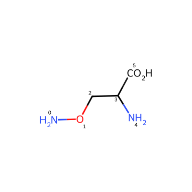 NOCC(N)C(=O)O